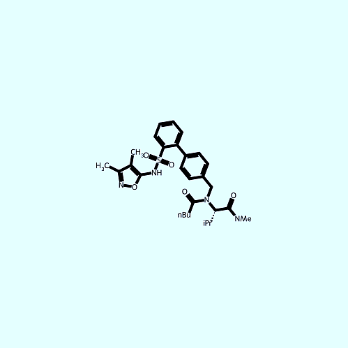 CCCCC(=O)N(Cc1ccc(-c2ccccc2S(=O)(=O)Nc2onc(C)c2C)cc1)[C@H](C(=O)NC)C(C)C